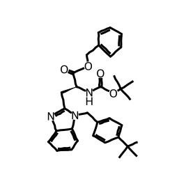 CC(C)(C)OC(=O)N[C@@H](Cc1nc2ccccc2n1Cc1ccc(C(C)(C)C)cc1)C(=O)OCc1ccccc1